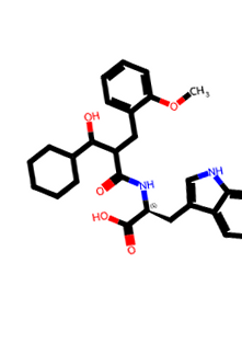 COc1ccccc1CC(C(=O)N[C@@H](Cc1c[nH]c2ccccc12)C(=O)O)C(O)C1CCCCC1